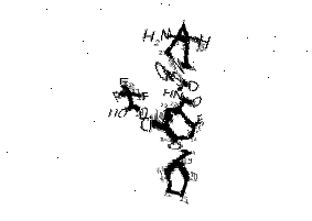 N[C@@]12C[C@@H]1CN(S(=O)(=O)NC(=O)c1cc(Cl)c(OCC3CCCC3)cc1F)C2.O=C(O)C(F)(F)F